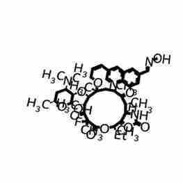 CC[C@H]1OC(=O)C(C)(F)C(=O)[C@H](C)[C@@H](O[C@H]2[C@H](O)O[C@H](C)C[C@@H]2N(C)C)[C@](C)(OC/C=C\c2cnc3ccc(/C=N/O)cc3c2)C[C@@H](C)C(=O)[C@H](C)[C@H]2NC(=O)O[C@@]21C